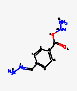 NN=Cc1ccc(C(=O)ONN)cc1